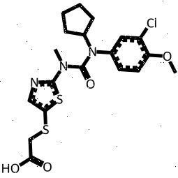 COc1ccc(N(C(=O)N(C)c2ncc(SCC(=O)O)s2)C2CCCC2)cc1Cl